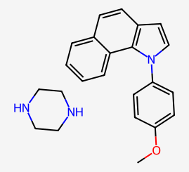 C1CNCCN1.COc1ccc(-n2ccc3ccc4ccccc4c32)cc1